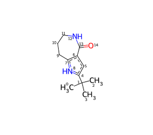 CC(C)(C)c1cc2c([nH]1)CCCNC2=O